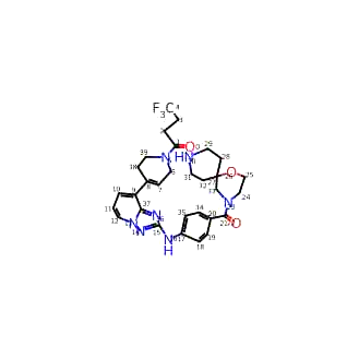 O=C(CCC(F)(F)F)N1CC=C(c2cccn3nc(Nc4ccc(C(=O)N5CCOC6(CCNCC6)C5)cc4)nc23)CC1